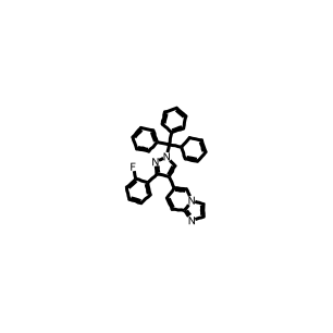 Fc1ccccc1-c1nn(C(c2ccccc2)(c2ccccc2)C2C=CC=CC2)cc1-c1ccc2nccn2c1